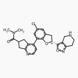 CN(C)C(=O)C1Cc2nccc(-c3cc(Cl)cc4c3O[C@@H](c3onc5c3CNCC5)C4)c2C1